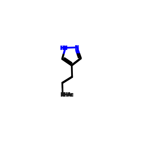 CC(=O)NCCc1cn[nH]c1